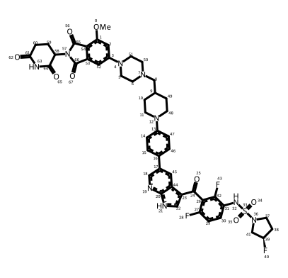 COc1cc(N2CCN(CC3CCN(c4ccc(-c5cnc6[nH]cc(C(=O)c7c(F)ccc(NS(=O)(=O)N8CC[C@@H](F)C8)c7F)c6c5)cc4)CC3)CC2)cc2c1C(=O)N(C1CCC(=O)NC1=O)C2=O